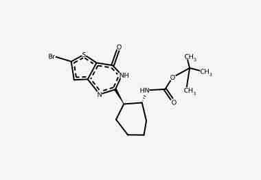 CC(C)(C)OC(=O)N[C@@H]1CCCC[C@H]1c1nc2cc(Br)sc2c(=O)[nH]1